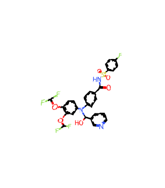 O=C(NS(=O)(=O)c1ccc(F)cc1)c1ccc(N(c2ccc(OC(F)F)c(OC(F)F)c2)C(O)c2cccnc2)cc1